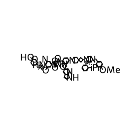 COc1ccc(CN2CCN(C3CC4(CCN(c5ccc(C(=O)NS(=O)(=O)c6cc7c(c([N+](=O)[O-])c6)N[C@H](C[C@H]6CC[C@H](O)CC6)CO7)c(Oc6cnc7[nH]ccc7c6)c5)CC4)C3)[C@H](c3ccccc3C(C)C)C2)cc1